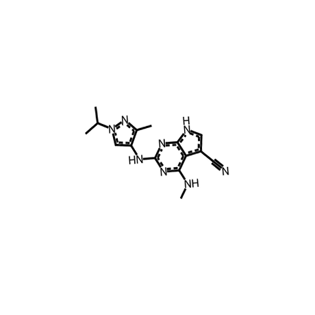 CNc1nc(Nc2cn(C(C)C)nc2C)nc2[nH]cc(C#N)c12